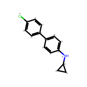 Clc1ccc(-c2ccc(NC3CC3)cc2)cc1